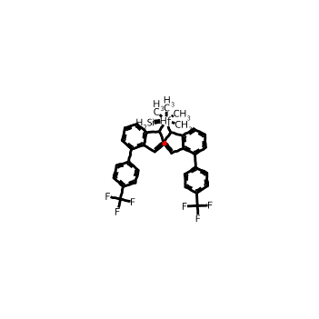 [CH3][Hf]([CH3])([CH3])([CH3])(=[SiH2])([CH]1C=Cc2c(-c3ccc(C(F)(F)F)cc3)cccc21)[CH]1C=Cc2c(-c3ccc(C(F)(F)F)cc3)cccc21